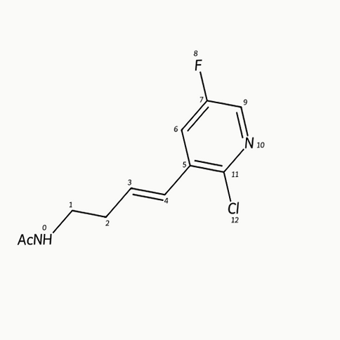 CC(=O)NCCC=Cc1cc(F)cnc1Cl